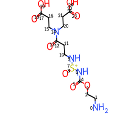 NCCOC(=O)N[S+]([O-])NCCC(=O)N(CCC(=O)O)CCC(=O)O